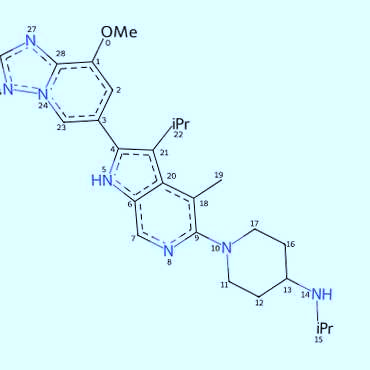 COc1cc(-c2[nH]c3cnc(N4CCC(NC(C)C)CC4)c(C)c3c2C(C)C)cn2ncnc12